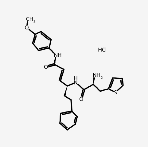 COc1ccc(NC(=O)C=C[C@H](CCc2ccccc2)NC(=O)[C@@H](N)Cc2cccs2)cc1.Cl